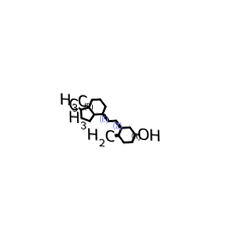 C=C1CC[C@@H](O)C/C1=C/C=C1\CCC[C@]2(C)C(C)CCC12